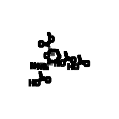 CC(=O)O.CC(=O)O.CC(=O)O.COC(=O)[C@@H]1CCC[C@H](N=[N+]=[N-])O1